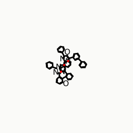 c1ccc(-c2cccc(-c3nc(-c4cccc(-c5cccc6oc7cccc(-c8nc(-c9ccccc9)nc(-c9ccccc9)n8)c7c56)c4)nc4c3oc3ccccc34)c2)cc1